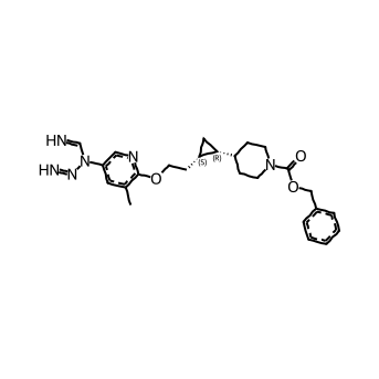 Cc1cc(N(C=N)N=N)cnc1OCC[C@@H]1C[C@@H]1C1CCN(C(=O)OCc2ccccc2)CC1